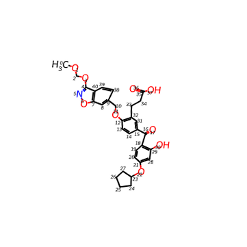 COCOc1noc2cc(COc3ccc(C(=O)c4ccc(OC5CCCC5)cc4O)cc3CCC(=O)O)ccc12